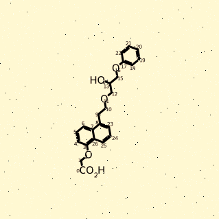 O=C(O)COc1cccc2c(CCOCC(O)COc3ccccc3)cccc12